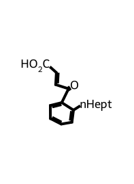 CCCCCCCc1ccccc1C(=O)C=CC(=O)O